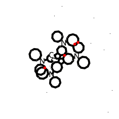 C1CCCCC(N(C2CCCCCCCC2)C2CCCC3C4CCCC(N(C5CCCCCCCCC5)C5CCCCCCCC5)CCCC4C4(C3CCC2)C2CCCC(N(C3CCCCCCCCC3)C3CCCCCCCC3)CCCC2C2CCC(N(C3CCCCCCCCC3)C3CCCCCCCC3)CCCC24)CCCC1